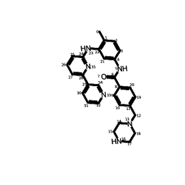 Cc1ccc(NC(=O)c2ccc(CN3CCNCC3)cc2)cc1Nc1cccc(-c2cccnc2)n1